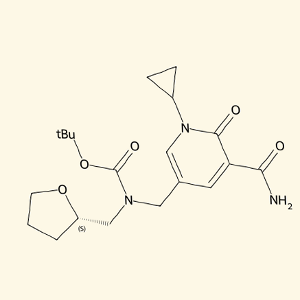 CC(C)(C)OC(=O)N(Cc1cc(C(N)=O)c(=O)n(C2CC2)c1)C[C@@H]1CCCO1